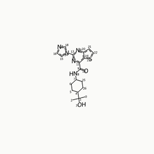 CC(C)(O)C1CCC(NC(=O)c2nc(-n3ccnc3)nc3ccsc23)CC1